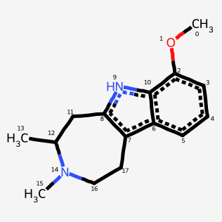 COc1cccc2c3c([nH]c12)CC(C)N(C)CC3